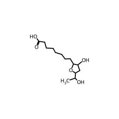 CC(O)C1CC(O)C(CCCCCCCC(=O)O)O1